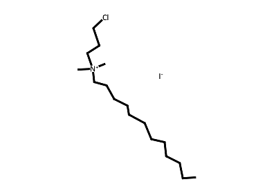 CCCCCCCCCCCC[N+](C)(C)CCCCl.[I-]